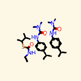 CC(C)c1ccc(NC(=O)N(C)C)cc1.CC(C)c1ccc(NC(=O)N(C)C)cc1.CCNC(=O)SC(C)C(C)C